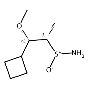 CO[C@@H](C1CCC1)[C@H](C)[S+](N)[O-]